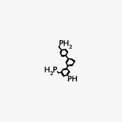 CPc1cc(CP)cc(-c2cccc(-c3ccc(CP)cc3)c2)c1